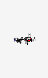 CC12CNCCNCC(NC(=O)CCCC(=O)NCc3ccc(/C(N)=N/N=C\N)cc3)(CNCCNC1)CNCCNC2